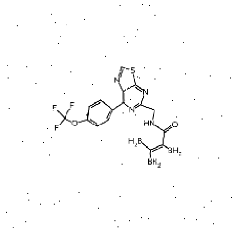 BC(B)=C(B)C(=O)NCc1nc(-c2ccc(OC(F)(F)F)cc2)c2ncsc2n1